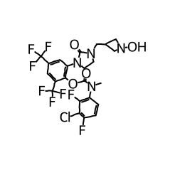 CN(C(=O)Oc1c(N2CCN(CC3CN(O)C3)C2=O)cc(C(F)(F)F)cc1C(F)(F)F)c1ccc(F)c(Cl)c1F